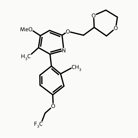 COc1cc(OCC2COCCO2)nc(-c2ccc(OCC(F)(F)F)cc2C)c1C